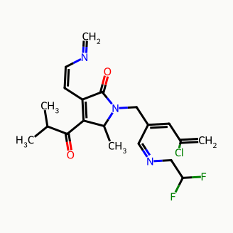 C=N/C=C\C1=C(C(=O)C(C)C)C(C)N(CC(/C=N\CC(F)F)=C/C(=C)Cl)C1=O